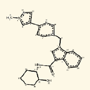 Cn1cc(-c2ccc(Cn3cc(C(=O)N[C@H]4CCCC[C@@H]4O)c4ncccc43)cn2)cn1